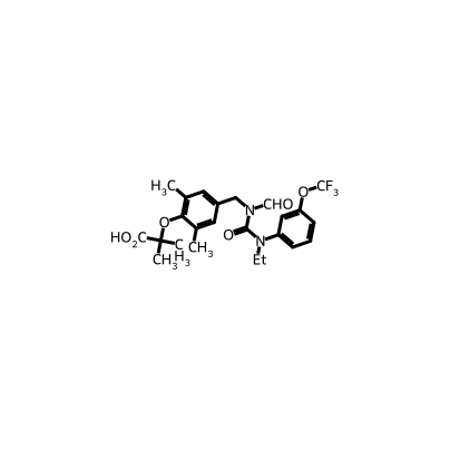 CCN(C(=O)N(C=O)Cc1cc(C)c(OC(C)(C)C(=O)O)c(C)c1)c1cccc(OC(F)(F)F)c1